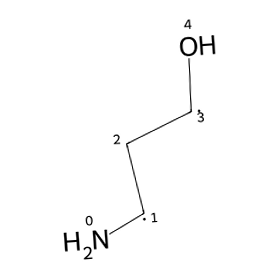 N[CH]C[CH]O